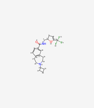 O=C(NCC1CC=C(C(F)(F)F)O1)c1ccc2c(c1)CCN(C1CCC1)CC2